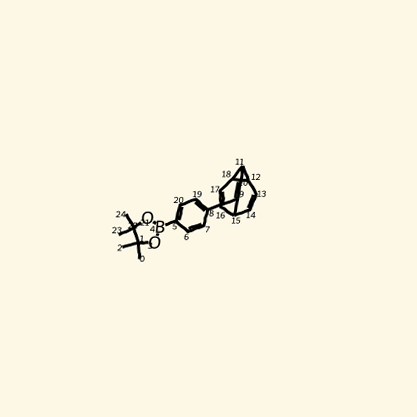 CC1(C)OB(c2ccc(C3=CC4C5C=CC3C=CC54)cc2)OC1(C)C